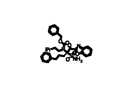 CC(C)CCN(C(=O)OCc1ccccc1)[C@](CCCc1ccccc1)(C(=O)c1nc2ccccc2o1)S(N)(=O)=O